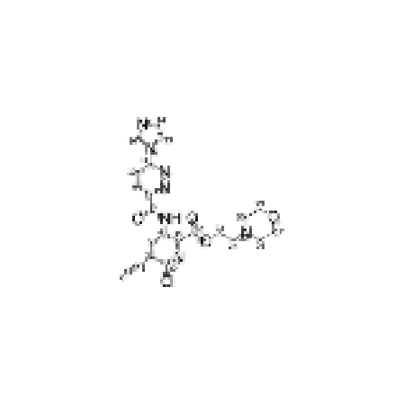 C#Cc1cc(NC(=O)c2ccc(-n3ccnc3)nn2)c(C(=O)OCCN2CCOCC2)nc1Cl